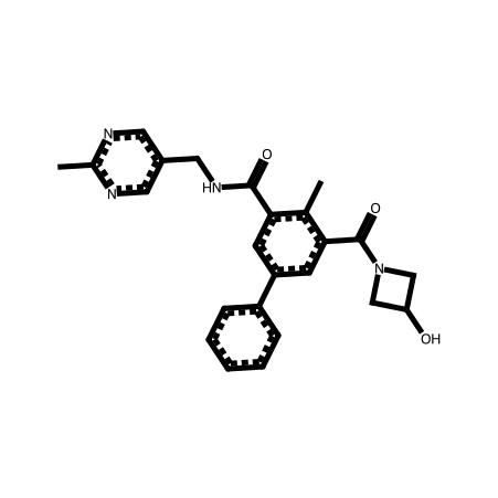 Cc1ncc(CNC(=O)c2cc(-c3ccccc3)cc(C(=O)N3CC(O)C3)c2C)cn1